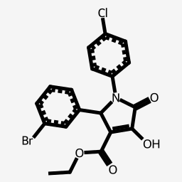 CCOC(=O)C1=C(O)C(=O)N(c2ccc(Cl)cc2)C1c1cccc(Br)c1